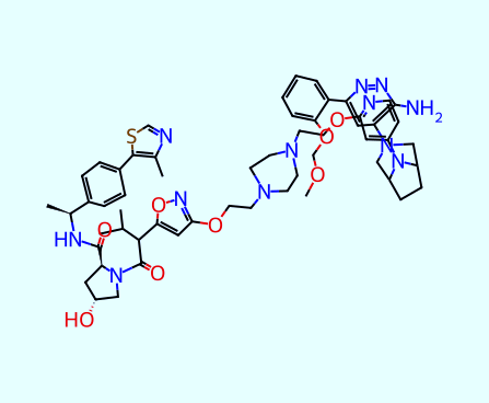 COCOc1ccccc1-c1cc(N2CC3CCC(C2)N3c2ccnc(OCCN3CCN(CCOc4cc(C(C(=O)N5C[C@H](O)C[C@H]5C(=O)N[C@@H](C)c5ccc(-c6scnc6C)cc5)C(C)C)on4)CC3)c2)c(N)nn1